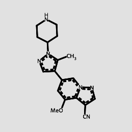 COc1cc(-c2cnn(C3CCNCC3)c2C)cn2ncc(C#N)c12